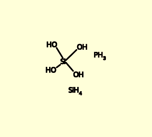 O[Si](O)(O)O.P.[SiH4]